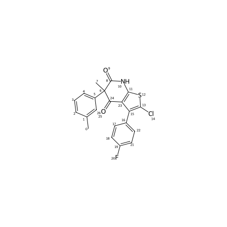 Cc1cccc(C2(C)C(=O)Nc3sc(Cl)c(-c4ccc(F)cc4)c3C2=O)c1